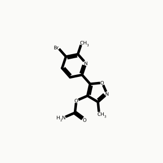 Cc1nc(-c2onc(C)c2OC(N)=O)ccc1Br